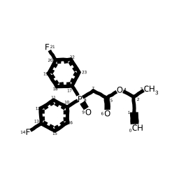 C#CC(C)OC(=O)CP(=O)(c1ccc(F)cc1)c1ccc(F)cc1